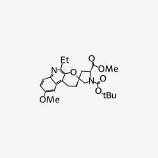 CCc1nc2ccc(OC)cc2c2c1O[C@]1(CC2)C[C@@H](C(=O)OC)N(C(=O)OC(C)(C)C)C1